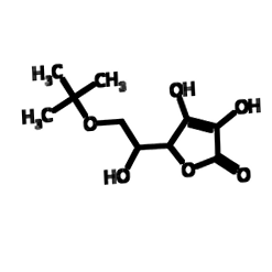 CC(C)(C)OCC(O)C1OC(=O)C(O)=C1O